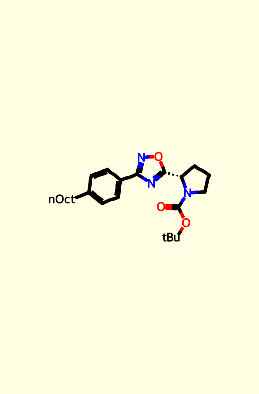 CCCCCCCCc1ccc(-c2noc([C@@H]3CCCN3C(=O)OC(C)(C)C)n2)cc1